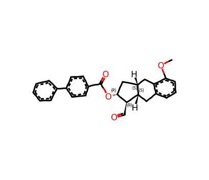 COc1cccc2c1C[C@H]1C[C@@H](OC(=O)c3ccc(-c4ccccc4)cc3)[C@H](C=O)[C@H]1C2